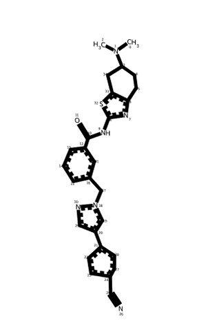 CN(C)C1CCc2nc(NC(=O)c3cccc(Cn4cc(-c5ccc(C#N)cc5)cn4)c3)sc2C1